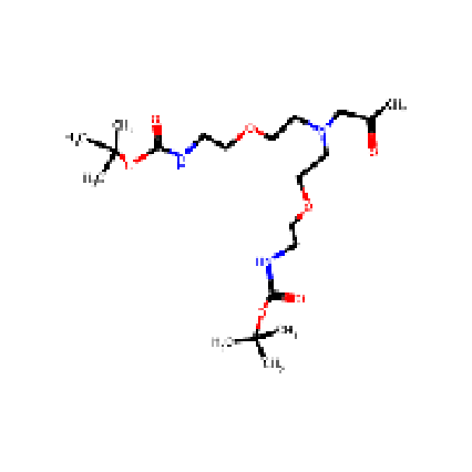 CC(=O)CN(CCOCCNC(=O)OC(C)(C)C)CCOCCNC(=O)OC(C)(C)C